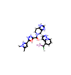 Cc1cc(-c2nnc(C(=O)N3CCc4[nH]cnc4[C@@H]3c3cc4c(C(F)P)cccn4n3)o2)nn1C